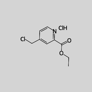 CCOC(=O)c1cc(CCl)ccn1.Cl